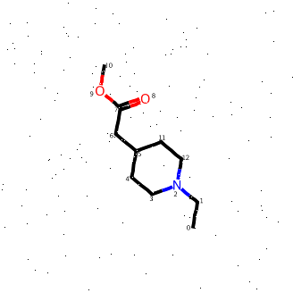 CCN1CCC(CC(=O)OC)CC1